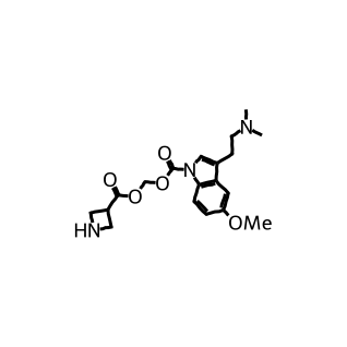 COc1ccc2c(c1)c(CCN(C)C)cn2C(=O)OCOC(=O)C1CNC1